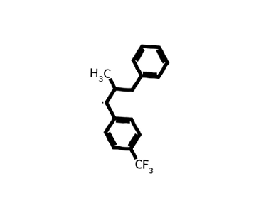 CC([CH]c1ccc(C(F)(F)F)cc1)Cc1ccccc1